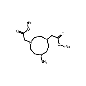 CC(C)(C)OC(=O)CN1CCN(N)CCN(CC(=O)OC(C)(C)C)CC1